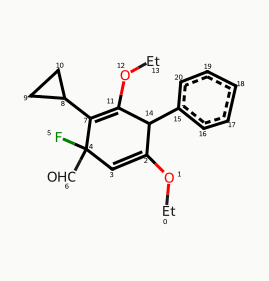 CCOC1=CC(F)(C=O)C(C2CC2)=C(OCC)C1c1ccccc1